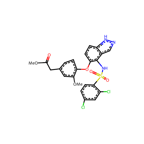 COC(=O)Cc1ccc(Oc2ccc3[nH]ncc3c2NS(=O)(=O)c2ccc(Cl)cc2Cl)c(OC)c1